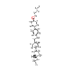 CCCCCOc1ccc(-c2ccc(CCC3CCC(C4CC[SiH](CCC)CC4)CC3)cc2)cc1